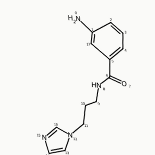 Nc1cccc(C(=O)NCCCn2ccnc2)c1